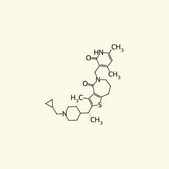 Cc1cc(C)c(CN2CCCc3sc([C@H](C)C4CCN(CC5CC5)CC4)c(C)c3C2=O)c(=O)[nH]1